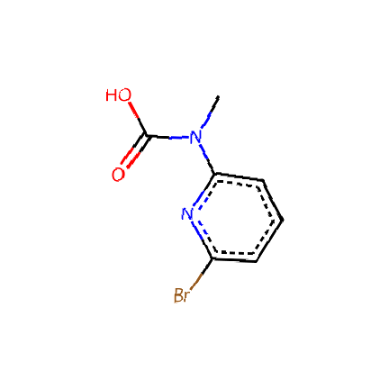 CN(C(=O)O)c1cccc(Br)n1